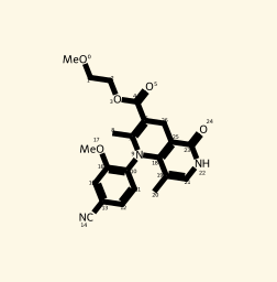 COCCOC(=O)C1=C(C)N(c2ccc(C#N)cc2OC)c2c(C)c[nH]c(=O)c2C1